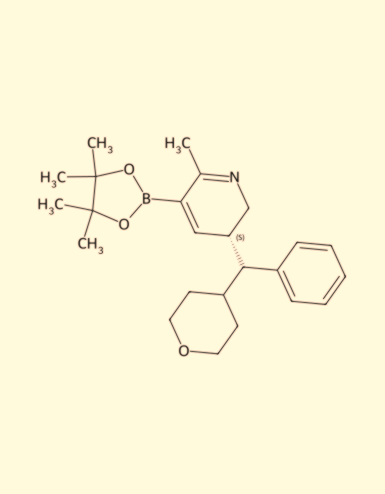 CC1=NC[C@H](C(c2ccccc2)C2CCOCC2)C=C1B1OC(C)(C)C(C)(C)O1